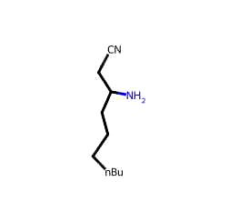 CCCCCCCC(N)CC#N